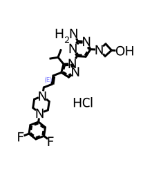 CC(C)c1c(/C=C/CN2CCN(c3cc(F)cc(F)c3)CC2)cnn1-c1cc(N2CC(O)C2)nc(N)n1.Cl